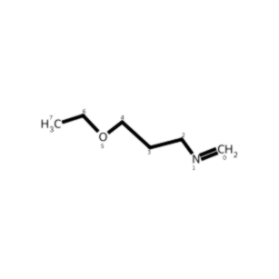 C=NCCCOCC